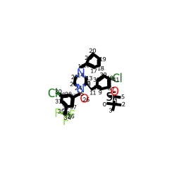 CC(C)(C)[Si](C)(C)Oc1cc(C[C@@H]2CN(Cc3ccccc3)CCN2C(=O)c2cc(Cl)cc(C(F)(F)F)c2)ccc1Cl